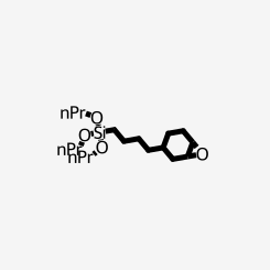 CCCO[Si](CCCCC1CCC2OC2C1)(OCCC)OCCC